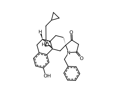 O=C1CC(=O)[C@@]2(CC[C@@]3(O)[C@H]4Cc5ccc(O)cc5[C@@]3(CCN4CC3CC3)C2)N1Cc1ccccc1